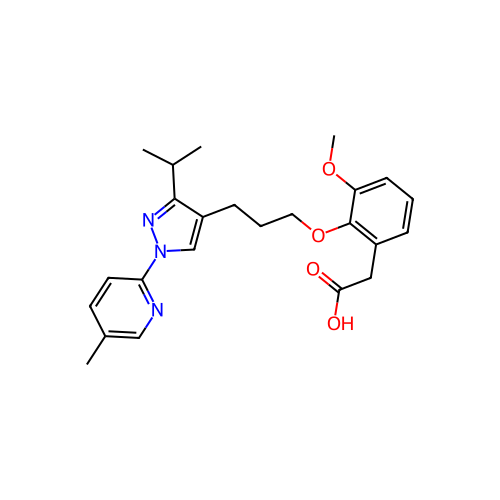 COc1cccc(CC(=O)O)c1OCCCc1cn(-c2ccc(C)cn2)nc1C(C)C